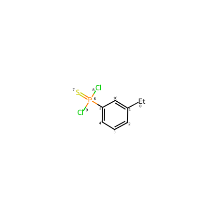 CCc1cccc(P(=S)(Cl)Cl)c1